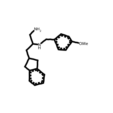 COc1ccc(CNC(CN)CC2Cc3ccccc3C2)cc1